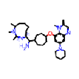 C=C1C=Nc2cc(N3CCCCC3)cc(OC3CCCC(C(N)C4=C\CCCC(C)N(C)/C(C)=N\4)CC3)c2N1C